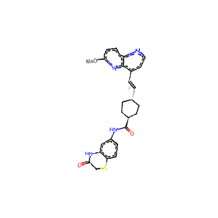 COc1ccc2nccc(/C=C/[C@H]3CC[C@H](C(=O)Nc4ccc5c(c4)NC(=O)CS5)CC3)c2n1